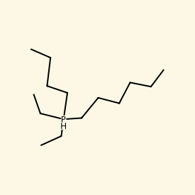 CCCCCC[PH](CC)(CC)CCCC